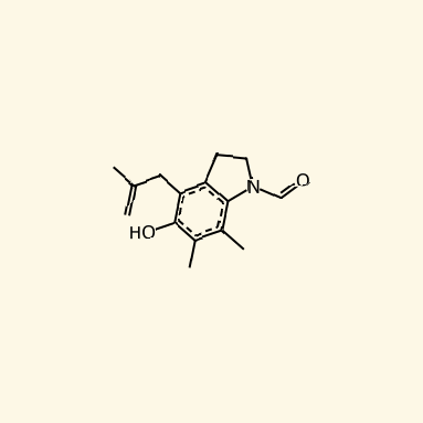 C=C(C)Cc1c(O)c(C)c(C)c2c1CCN2C=O